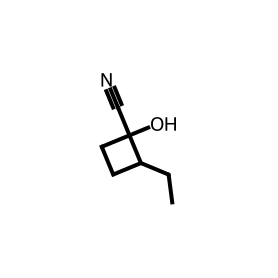 CCC1CCC1(O)C#N